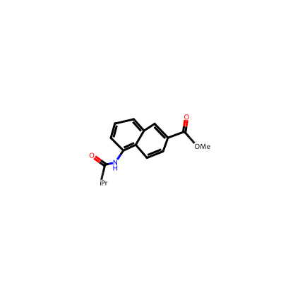 COC(=O)c1ccc2c(NC(=O)C(C)C)cccc2c1